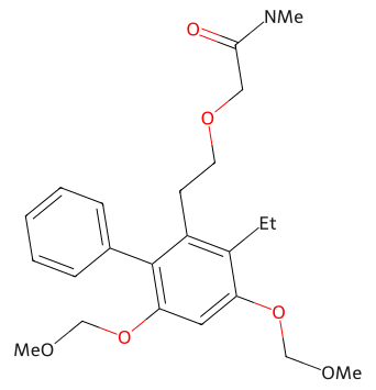 CCc1c(OCOC)cc(OCOC)c(-c2ccccc2)c1CCOCC(=O)NC